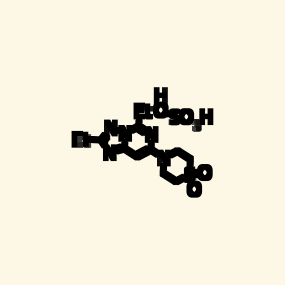 CCc1nc2cc(N3CCS(=O)(=O)CC3)nc(CC)n2n1.O=S(=O)(O)O